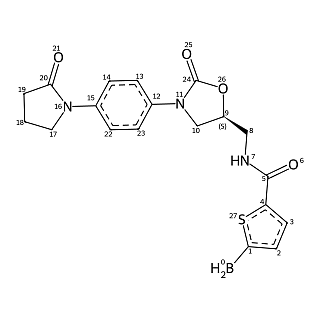 Bc1ccc(C(=O)NC[C@H]2CN(c3ccc(N4CCCC4=O)cc3)C(=O)O2)s1